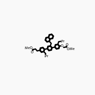 COC(=O)CCc1ccc(-c2ccc(-c3ccc(OCC(=O)OC)c(CC(C)C)c3)c(Cc3cccc4ccccc34)c2)c(CC(C)C)c1